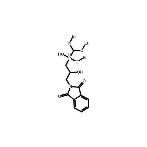 CCOC(OCC)[PH](O)(CC(O)CN1C(=O)c2ccccc2C1=O)OCC